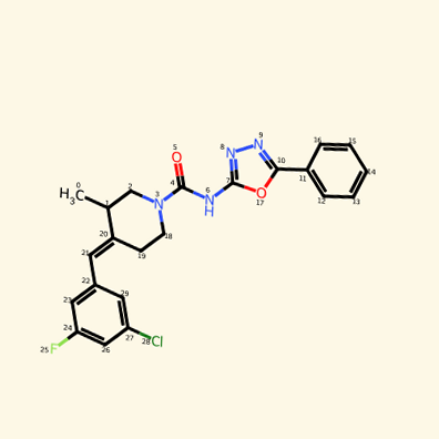 CC1CN(C(=O)Nc2nnc(-c3ccccc3)o2)CC/C1=C\c1cc(F)cc(Cl)c1